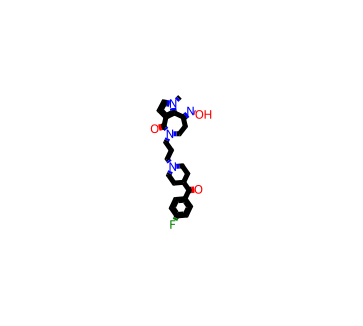 Cn1ccc2c1C(=NO)CCN(CCCN1CCC(C(=O)c3ccc(F)cc3)CC1)C2=O